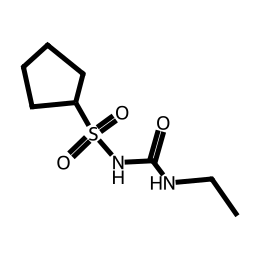 CCNC(=O)NS(=O)(=O)C1CCCC1